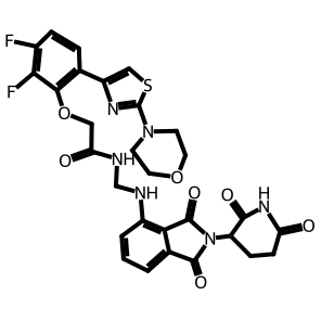 O=C(COc1c(-c2csc(N3CCOCC3)n2)ccc(F)c1F)NCNc1cccc2c1C(=O)N(C1CCC(=O)NC1=O)C2=O